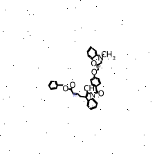 Cc1c(C/C=C/C(=O)OCc2ccccc2)c2ccccc2n1C(=O)c1ccc(OC[C@@H]2CN(C)c3ccccc3O2)cc1